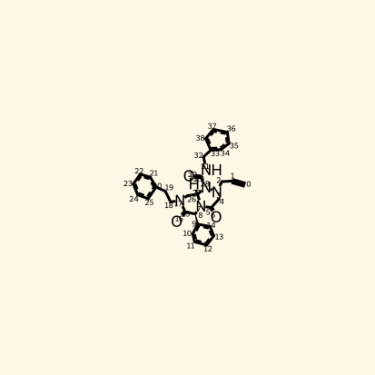 C#CCN1CC(=O)N2[C@@H](c3ccccc3)C(=O)N(CCc3ccccc3)C[C@@H]2N1C(=O)NCc1ccccc1